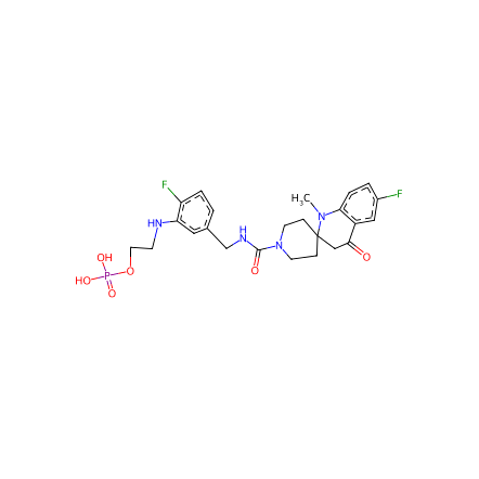 CN1c2ccc(F)cc2C(=O)CC12CCN(C(=O)NCc1ccc(F)c(NCCOP(=O)(O)O)c1)CC2